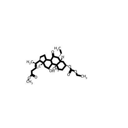 CCOC(=O)O[C@@H]1CC[C@]2(C)C3C(C(=O)[C@H](CC)[C@@H]2C1)C1CC[C@H]([C@H](C)CCC(=O)OC)[C@@]1(C)C[C@@H]3O